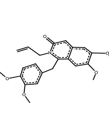 C=CCn1c(Cc2ccc(OC)c(OC)c2)c2cc(OC)c(OC)cc2cc1=O